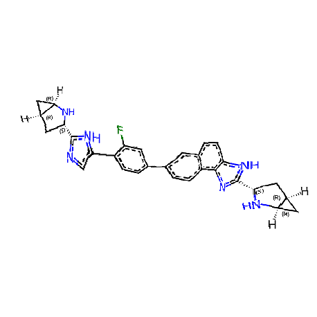 Fc1cc(-c2ccc3c(ccc4[nH]c([C@@H]5C[C@H]6C[C@H]6N5)nc43)c2)ccc1-c1cnc([C@@H]2C[C@H]3C[C@H]3N2)[nH]1